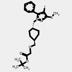 CSc1nn(C[C@H]2CC[C@H](COCC(=O)OC(C)(C)C)CC2)c(-c2ccccc2)c1I